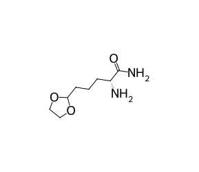 NC(=O)[C@H](N)CCCC1OCCO1